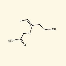 CC=C(CCC=O)CCC(=O)CCCC